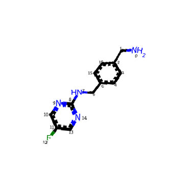 NCc1ccc(CNc2ncc(F)cn2)cc1